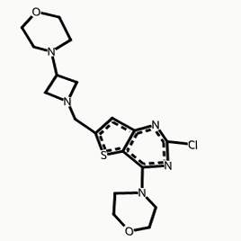 Clc1nc(N2CCOCC2)c2sc(CN3CC(N4CCOCC4)C3)cc2n1